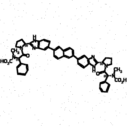 CN(C(=O)O)[C@@H](C(=O)N1CCC[C@H]1c1nc2cc(-c3ccc4cc(-c5ccc6[nH]c([C@@H]7CCCN7C(=O)[C@@H](c7ccccc7)N(C)C(=O)O)nc6c5)ccc4c3)ccc2[nH]1)c1ccccc1